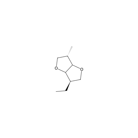 CC[C@@H]1COC2C1OC[C@@H]2C